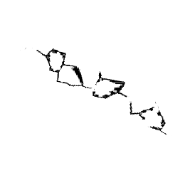 O=Cc1ccc2c(c1)CCC(n1ccc(OCc3ncc(Cl)s3)cc1=O)=C2